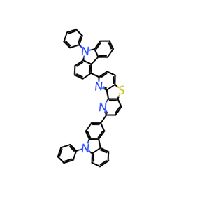 c1ccc(-n2c3ccccc3c3cc(-c4ccc5sc6ccc(-c7cccc8c7c7ccccc7n8-c7ccccc7)nc6c5n4)ccc32)cc1